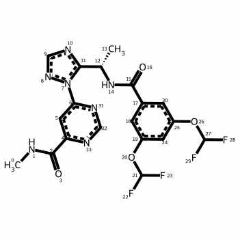 CNC(=O)c1cc(-n2ncnc2[C@H](C)NC(=O)c2cc(OC(F)F)cc(OC(F)F)c2)ncn1